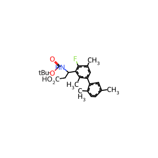 Cc1ccc(C)c(-c2cc(C)c(F)c(C(CC(=O)O)NC(=O)OC(C)(C)C)c2C)c1